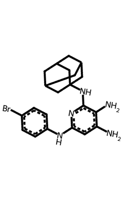 Nc1cc(Nc2ccc(Br)cc2)nc(NC23CC4CC(CC(C4)C2)C3)c1N